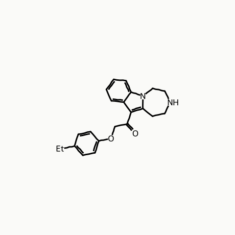 CCc1ccc(OCC(=O)c2c3n(c4ccccc24)CCNCC3)cc1